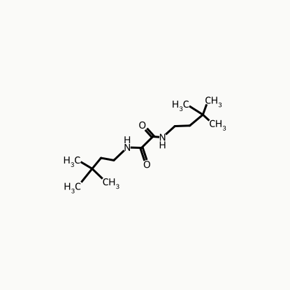 CC(C)(C)CCNC(=O)C(=O)NCCC(C)(C)C